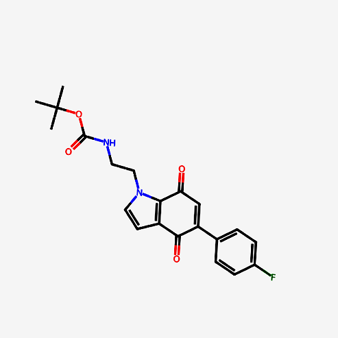 CC(C)(C)OC(=O)NCCn1ccc2c1C(=O)C=C(c1ccc(F)cc1)C2=O